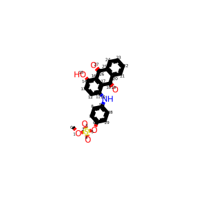 COS(=O)(=O)Oc1ccc(Nc2ccc(O)c3c2C(=O)c2ccccc2C3=O)cc1